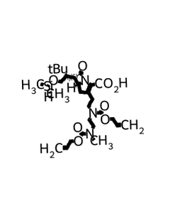 C=CCOC(=O)N(C)CCN(CCC1=C(C(=O)O)N2C(=O)[C@@H]([C@@H](CO[SiH](C)C)C(C)(C)C)[C@H]2C1)C(=O)OCC=C